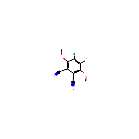 COc1c(F)c(F)c(OC)c(C#N)c1C#N